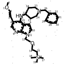 COC=Cc1cnc2c(ccn2COCC[Si](C)(C)C)c1NC1CCN(Cc2ccccc2)CC1